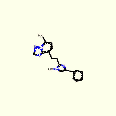 Cc1ccc(CCc2nc(-c3ccccc3)cn2C(C)C)c2ncnn12